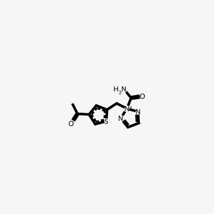 CC(=O)c1csc(C[N+]2(C(N)=O)N=[C]C=N2)c1